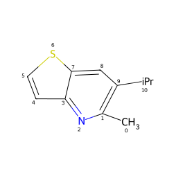 Cc1nc2ccsc2cc1C(C)C